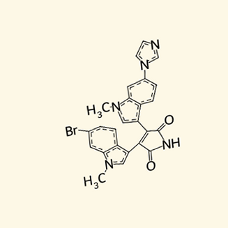 Cn1cc(C2=C(c3cn(C)c4cc(-n5ccnc5)ccc34)C(=O)NC2=O)c2ccc(Br)cc21